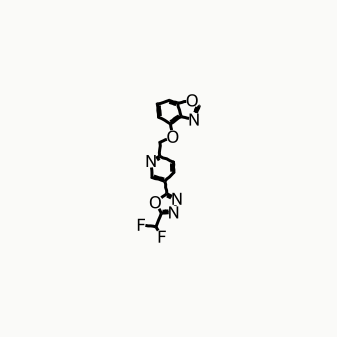 FC(F)c1nnc(-c2ccc(COc3cccc4ocnc34)nc2)o1